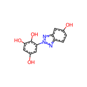 Oc1cc(O)c(O)c(-n2nc3ccc(O)cc3n2)c1